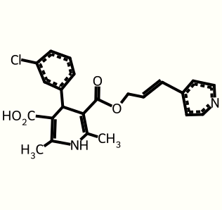 CC1=C(C(=O)O)C(c2cccc(Cl)c2)C(C(=O)OC/C=C/c2ccncc2)=C(C)N1